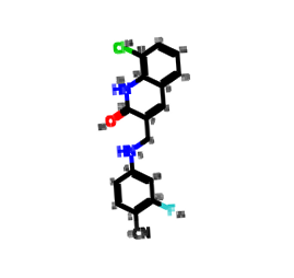 N#Cc1ccc(NCc2cc3cccc(Cl)c3[nH]c2=O)cc1F